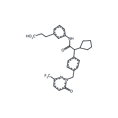 O=C(O)CCc1cccc(NC(=O)C(c2ccc(Cn3nc(C(F)(F)F)ccc3=O)cc2)C2CCCC2)c1